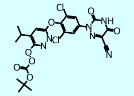 CC(C)c1cc(Oc2c(Cl)cc(-n3nc(C#N)c(=O)[nH]c3=O)cc2Cl)nnc1OOC(=O)OC(C)(C)C